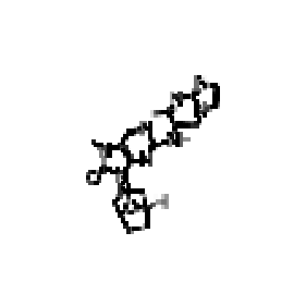 Cc1nc2nccn2cc1Nc1ncc2c(n1)n(N1CC3CC[C@@H](C1)O3)c(=O)n2C